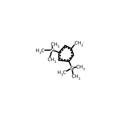 [CH2]c1cc([Si](C)(C)C)cc([Si](C)(C)C)c1